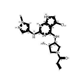 C=CC(=O)N1C[C@H](Nc2nc(Nc3cnn(C)c3)nc3[nH]cc(Cl)c23)[C@@H](F)C1